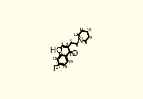 O=C(C(=CO)CCN1CCCCC1)c1ccc(F)cc1